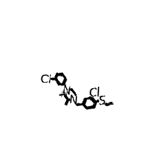 CCSc1ccc(CN2CCN(c3cccc(Cl)c3)[C@H](C)C2C)cc1Cl